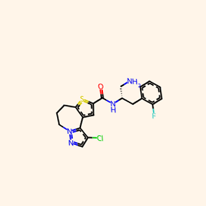 NC[C@H](Cc1ccccc1F)NC(=O)c1cc2c(s1)CCCn1ncc(Cl)c1-2